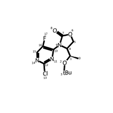 C[C@@H](OC(C)(C)C)C1COC(=O)N1c1nc(Cl)ncc1F